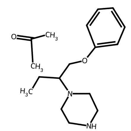 CC(C)=O.CCC(COc1ccccc1)N1CCNCC1